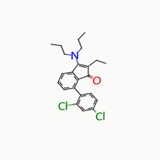 CCCN(CCC)C1=C(CC)C(=O)c2c1cccc2-c1ccc(Cl)cc1Cl